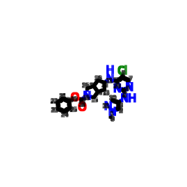 Cn1cc(Nc2ncc(Cl)c(NC3CC4CN(C(=O)Oc5ccccc5)CC4C3)n2)cn1